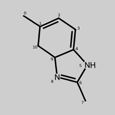 CC1=CC=C2NC(C)=NC2C1